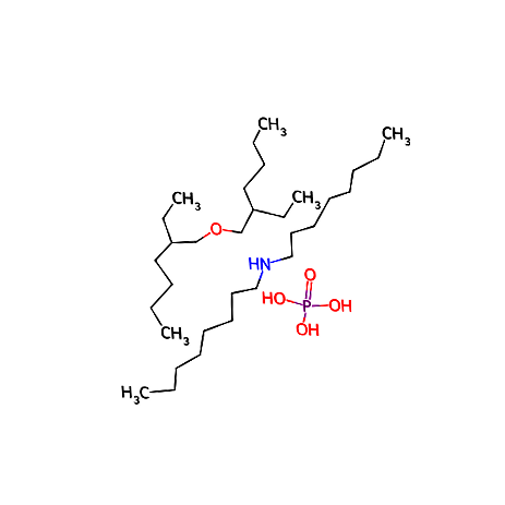 CCCCC(CC)COCC(CC)CCCC.CCCCCCCCNCCCCCCCC.O=P(O)(O)O